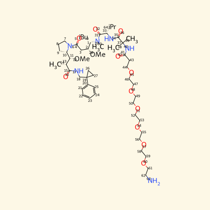 CC[C@H](C)[C@@H]([C@@H](CC(=O)N1CCC[C@H]1[C@H](OC)[C@@H](C)C(=O)NCC1(c2ccccc2)CC1)OC)N(C)C(=O)[C@@H](NC(=O)C(C)(C)NC(=O)CCOCCOCCOCCOCCOCCOCCN)C(C)C